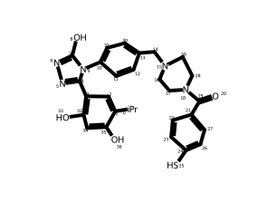 CC(C)c1cc(-c2nnc(O)n2-c2ccc(CN3CCN(C(=O)c4ccc(S)cc4)CC3)cc2)c(O)cc1O